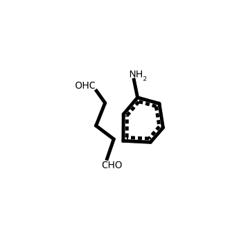 Nc1ccccc1.O=CCCCC=O